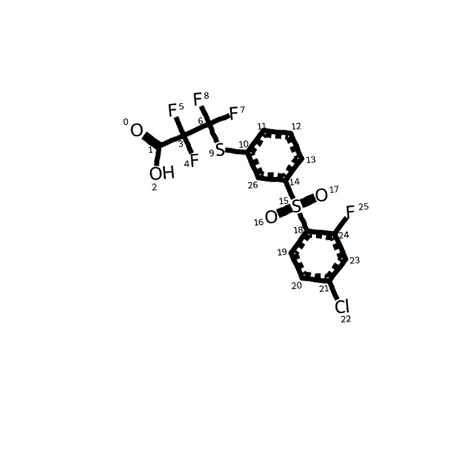 O=C(O)C(F)(F)C(F)(F)Sc1cccc(S(=O)(=O)c2ccc(Cl)cc2F)c1